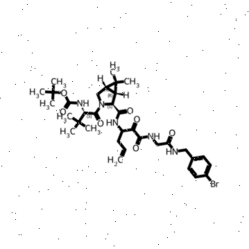 C=CCC(NC(=O)[C@@H]1[C@@H]2[C@H](CN1C(=O)[C@@H](NC(=O)OC(C)(C)C)C(C)(C)C)C2(C)C)C(=O)C(=O)NCC(=O)NCc1ccc(Br)cc1